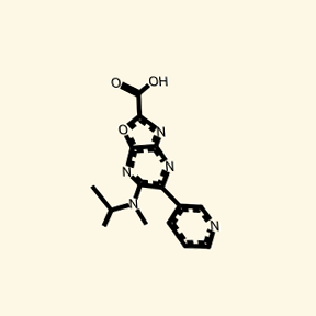 CC(C)N(C)c1nc2oc(C(=O)O)nc2nc1-c1cccnc1